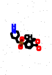 Cc1c(S(=O)(=O)CC2CCNCC2)ccc2c1COC2=O